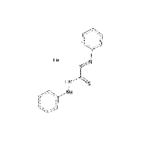 S=C(/N=N/c1ccccc1)NNc1ccccc1.[Cu]